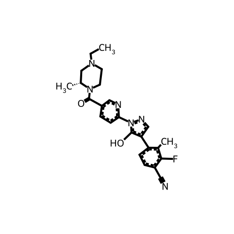 CCN1CCN(C(=O)c2ccc(-n3ncc(-c4ccc(C#N)c(F)c4C)c3O)nc2)[C@H](C)C1